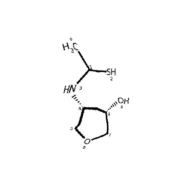 CC(S)N[C@H]1COC[C@H]1O